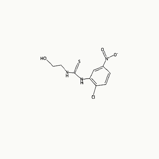 O=[N+]([O-])c1ccc(Cl)c(NC(=S)NCCO)c1